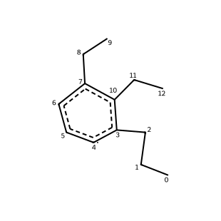 CCCc1[c]ccc(CC)c1CC